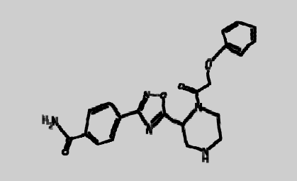 NC(=O)c1ccc(-c2noc(C3CNCCN3C(=O)COc3ccccc3)n2)cc1